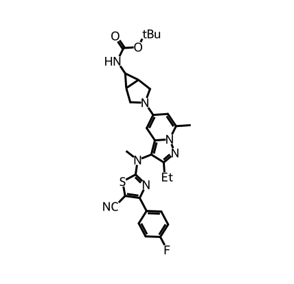 CCc1nn2c(C)cc(N3CC4C(C3)C4NC(=O)OC(C)(C)C)cc2c1N(C)c1nc(-c2ccc(F)cc2)c(C#N)s1